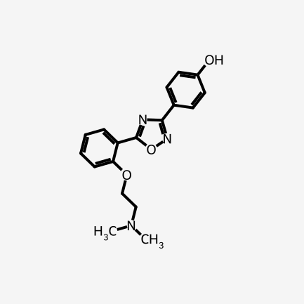 CN(C)CCOc1ccccc1-c1nc(-c2ccc(O)cc2)no1